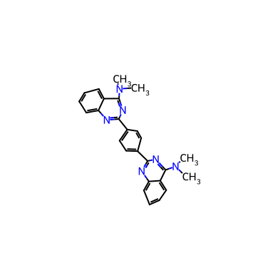 CN(C)c1nc(-c2ccc(-c3nc(N(C)C)c4ccccc4n3)cc2)nc2ccccc12